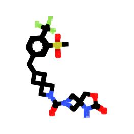 CS(=O)(=O)c1cc(CC2CC3(C2)CN(C(=O)N2CC4(COC(=O)N4)C2)C3)ccc1C(F)(F)F